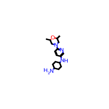 CC1CN(c2ccc(NC3CCC(N)CC3)cn2)CC(C)O1